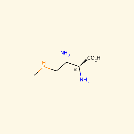 CPCC[C@H](N)C(=O)O.N